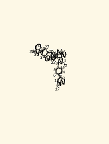 CCN(Cc1ccc(-c2cnn(C)c2)cc1)c1ncnc2c1ccn2CC1CCN(CC(C)=O)CC1O